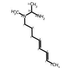 CC=CC=CCCCN(C)C(C)N